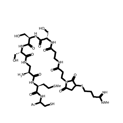 CNC(=N)CCCSC1CC(=O)N(CCC(=O)NCCC(=O)N[C@@H](CO)C(=O)N[C@H](CO)C(=O)N[C@@H](CO)C(=O)NC[C@H](N)C(=O)N[C@@H](CCSC)C(=O)NC(CS)C(C)=O)C1=O